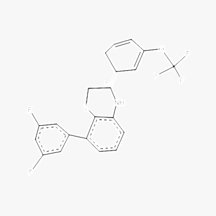 Fc1cc(F)cc(-c2cccc3c2OC[C@H](C2C=C(OC(F)(F)F)C=CC2)N3)c1